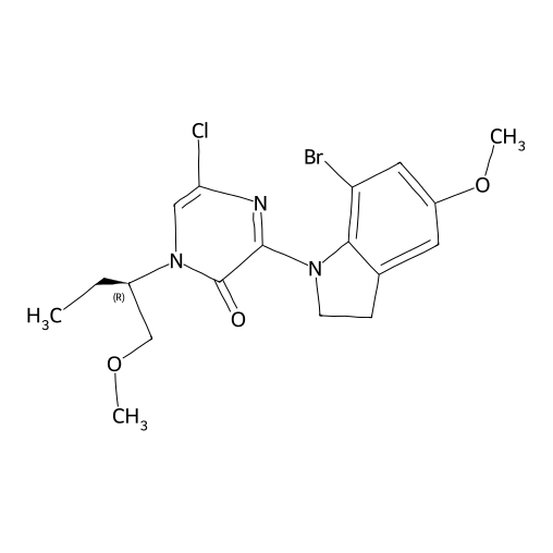 CC[C@H](COC)n1cc(Cl)nc(N2CCc3cc(OC)cc(Br)c32)c1=O